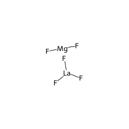 [F][La]([F])[F].[F][Mg][F]